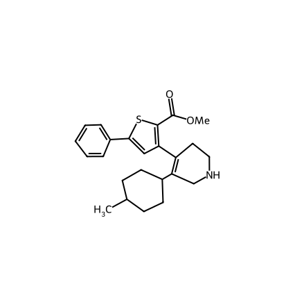 COC(=O)c1sc(-c2ccccc2)cc1C1=C(C2CCC(C)CC2)CNCC1